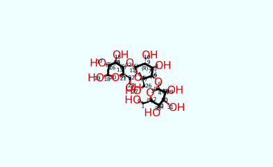 OC[C@H]1O[C@@H](O[C@@H]2[C@H](O)[C@@H](O)[C@H](O[C@H]3[C@H](O)[C@@H](O)C(O)O[C@@H]3CO)O[C@@H]2CO)[C@H](O)[C@@H](O)[C@H]1O